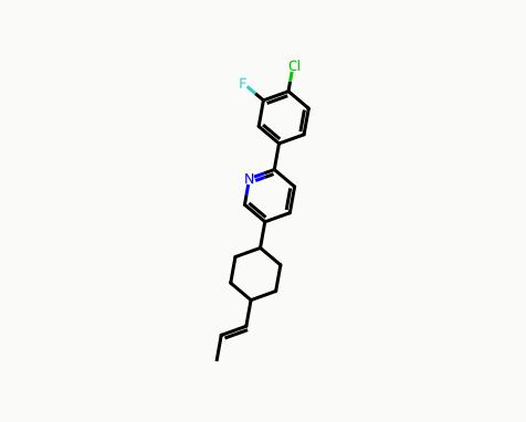 CC=CC1CCC(c2ccc(-c3ccc(Cl)c(F)c3)nc2)CC1